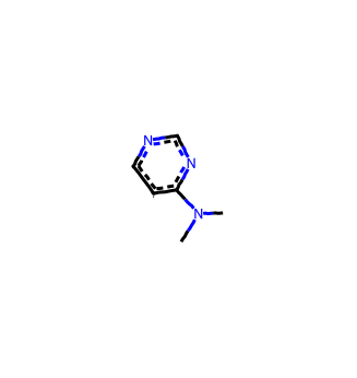 CN(C)c1[c]cncn1